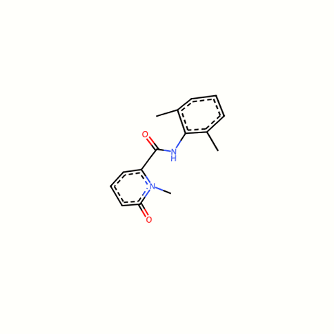 Cc1cccc(C)c1NC(=O)c1cccc(=O)n1C